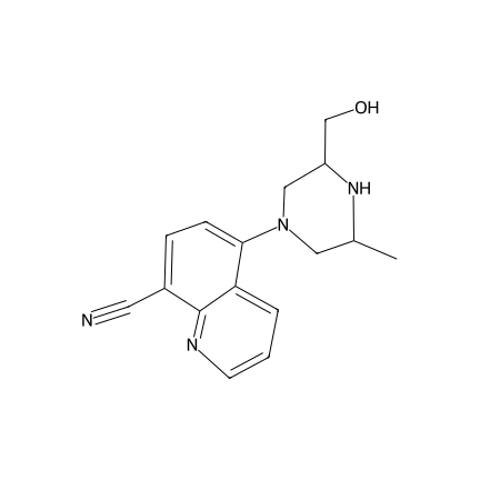 CC1CN(c2ccc(C#N)c3ncccc23)CC(CO)N1